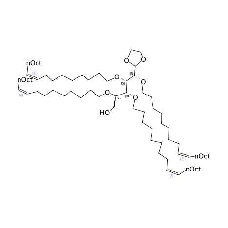 CCCCCCCC/C=C\CCCCCCCCO[C@@H]([C@H](OCCCCCCCC/C=C\CCCCCCCC)[C@@H](OCCCCCCCC/C=C\CCCCCCCC)C1OCCO1)[C@@H](CO)OCCCCCCCC/C=C\CCCCCCCC